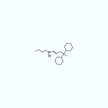 CCCCPC=CCC(C)(C1CCCCC1)C1CCCCC1